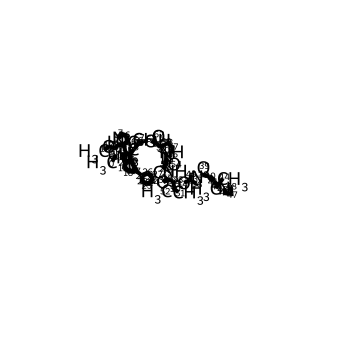 CCn1c(-c2cccnc2[C@H](C)OC)c2c3cc(ccc31)-c1cccc(c1)C[C@H](NC(=O)[C@@H](COC1CN(C(=O)C#CC(C)(C)N3CCC3)C1)C(C)C)C(=O)N1CCC[C@H](N1)C(=O)OCC(C)(C)C2